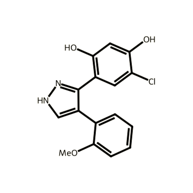 COc1ccccc1-c1c[nH]nc1-c1cc(Cl)c(O)cc1O